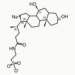 C[C@H](CCC(=O)NCCS(=O)(=O)[O-])[C@H]1CCC2C3C(CC[C@@]21C)[C@@]1(C)CC[C@@H](O)CC1C[C@@H]3O.[Na+]